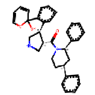 O=C([C@@H]1CNC[C@H]1c1ccccc1C1(O)C=CC=CO1)N1CC[C@H](c2ccccc2)C[C@@H]1c1ccccc1